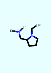 CCN(CC)CC1CCCN1CC#N